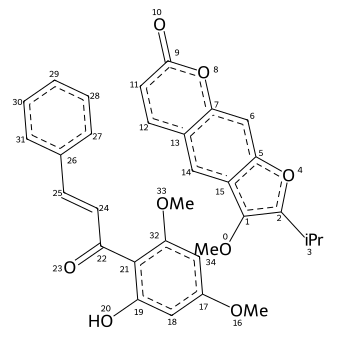 COc1c(C(C)C)oc2cc3oc(=O)ccc3cc12.COc1cc(O)c(C(=O)C=Cc2ccccc2)c(OC)c1